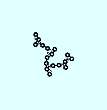 c1ccc2c(c1)sc1c2ccc2c1c1ccccc1n2-c1ccc(-c2ccc(-n3c4ccccc4c4ccc5c6cc(-c7ccc8c9ccc%10c%11ccccc%11sc%10c9n(-c9ccc(-c%10ccc(-n%11c%12ccccc%12c%12cc(-n%13c%14ccccc%14c%14ccccc%14%13)ccc%12%11)cc%10)cc9)c8c7)ccc6sc5c43)cc2)cc1